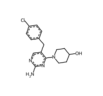 Nc1ncc(Cc2ccc(Cl)cc2)c(N2CCC(O)CC2)n1